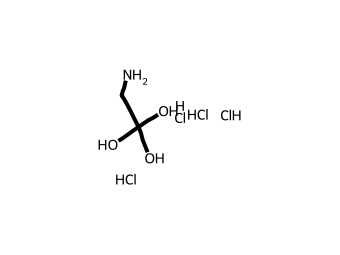 Cl.Cl.Cl.Cl.NCC(O)(O)O